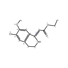 CCOC(=O)/C=C1\NCCc2cc(Cl)c(OC)cc21